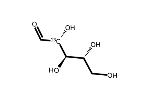 O=C[13C@H](O)[C@H](O)[C@H](O)CO